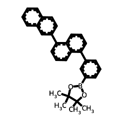 CC1(C)OB(c2cccc(-c3cccc4c(-c5ccc6ccccc6c5)cccc34)c2)OC1(C)C